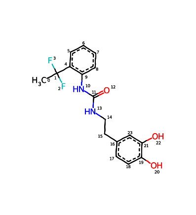 CC(F)(F)c1ccccc1NC(=O)NCCc1ccc(O)c(O)c1